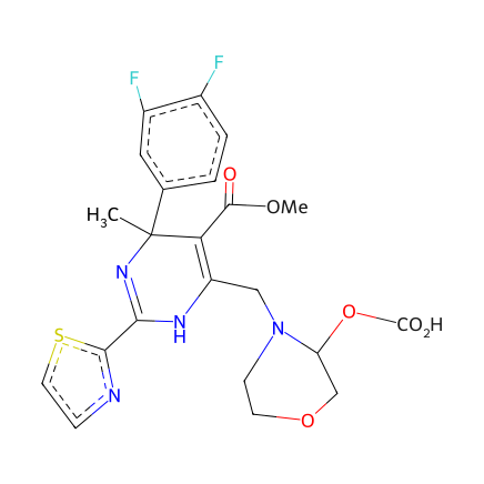 COC(=O)C1=C(CN2CCOCC2OC(=O)O)NC(c2nccs2)=NC1(C)c1ccc(F)c(F)c1